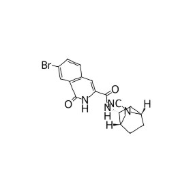 N#CN1[C@H]2CC[C@@H]1[C@H](NC(=O)c1cc3ccc(Br)cc3c(=O)[nH]1)C2